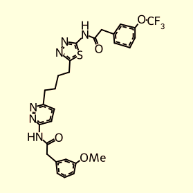 COc1cccc(CC(=O)Nc2ccc(CCCCc3nnc(NC(=O)Cc4cccc(OC(F)(F)F)c4)s3)nn2)c1